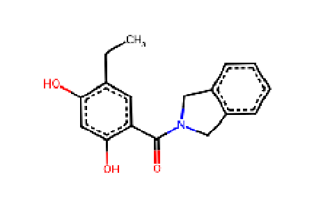 CCc1cc(C(=O)N2Cc3ccccc3C2)c(O)cc1O